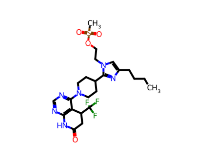 CCCCc1cn(CCOS(C)(=O)=O)c(C2CCN(c3ncnc4c3C(C(F)(F)F)CC(=O)N4)CC2)n1